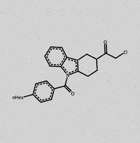 CCCCCCc1ccc(C(=O)n2c3c(c4ccccc42)CC(C(=O)CCl)CC3)cc1